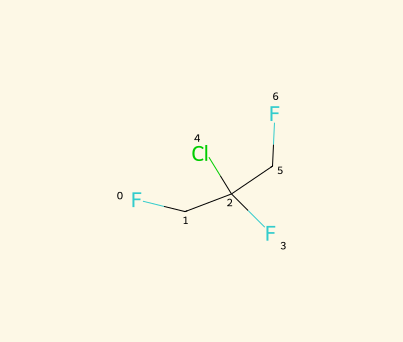 FCC(F)(Cl)CF